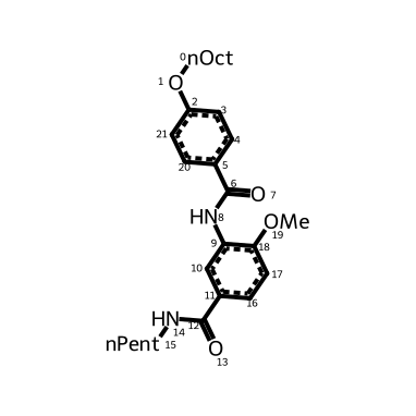 CCCCCCCCOc1ccc(C(=O)Nc2cc(C(=O)NCCCCC)ccc2OC)cc1